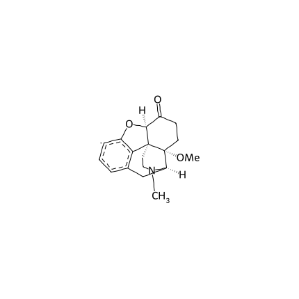 CO[C@@]12CCC(=O)[C@@H]3Oc4[c]ccc5c4[C@@]31CCN(C)[C@@H]2C5